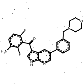 Nc1ccc(F)c(C(=O)c2c[nH]c3ncc(-c4cccc(CN5CCOCC5)c4)cc23)c1F